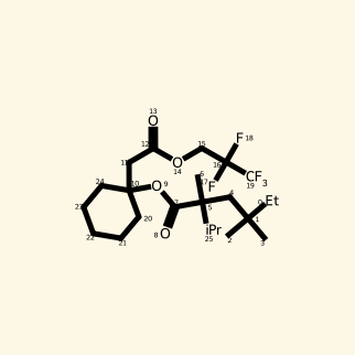 CCC(C)(C)CC(C)(C(=O)OC1(CC(=O)OCC(F)(F)C(F)(F)F)CCCCC1)C(C)C